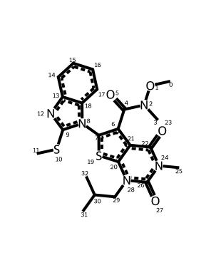 CON(C)C(=O)c1c(-n2c(SC)nc3ccccc32)sc2c1c(=O)n(C)c(=O)n2CC(C)C